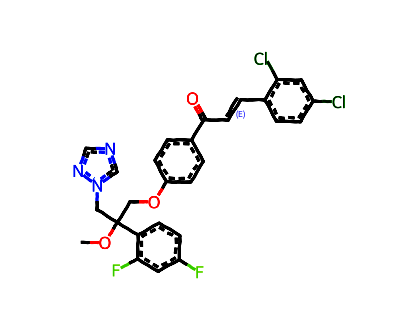 COC(COc1ccc(C(=O)/C=C/c2ccc(Cl)cc2Cl)cc1)(Cn1cncn1)c1ccc(F)cc1F